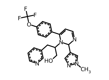 Cn1cc(C2N=CC=C(c3ccc(OC(F)(F)F)cc3)N2C(CO)Cc2cccnc2)cn1